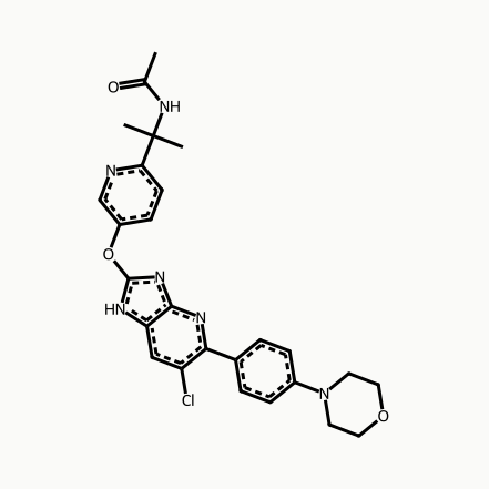 CC(=O)NC(C)(C)c1ccc(Oc2nc3nc(-c4ccc(N5CCOCC5)cc4)c(Cl)cc3[nH]2)cn1